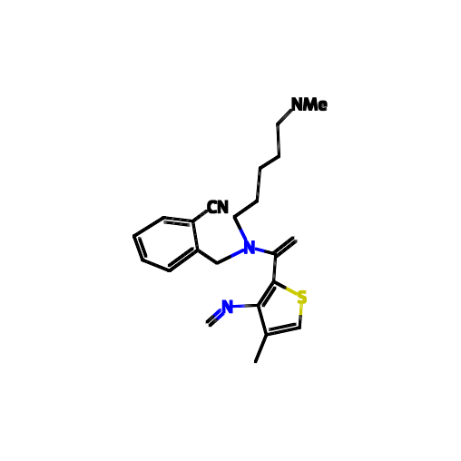 C=Nc1c(C)csc1C(=C)N(CCCCCNC)Cc1ccccc1C#N